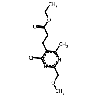 CCOC(=O)CCc1c(C)nc(COC)nc1Cl